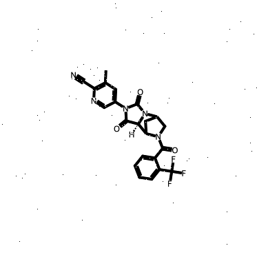 Cc1cc(N2C(=O)[C@@H]3C4CC(CN4C(=O)c4ccccc4C(F)(F)F)N3C2=O)cnc1C#N